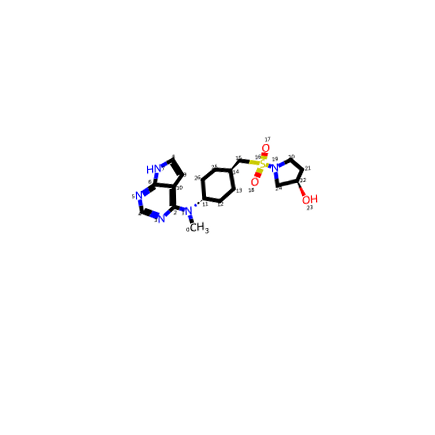 CN(c1ncnc2[nH]ccc12)[C@H]1CC[C@H](CS(=O)(=O)N2CC[C@@H](O)C2)CC1